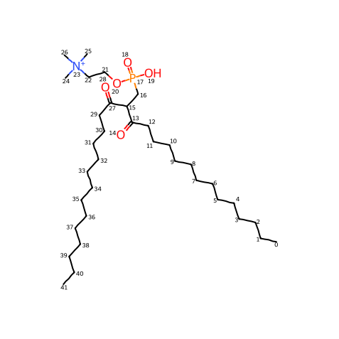 CCCCCCCCCCCCCC(=O)C(CP(=O)(O)OCC[N+](C)(C)C)C(=O)CCCCCCCCCCCCC